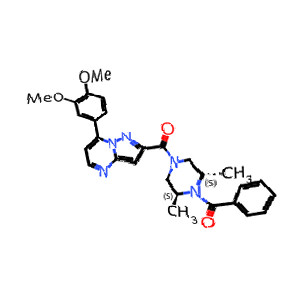 COc1ccc(-c2ccnc3cc(C(=O)N4C[C@H](C)N(C(=O)c5ccccc5)[C@@H](C)C4)nn23)cc1OC